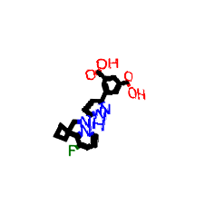 O=C(O)c1cc(C(=O)O)cc(-c2ccc(NCC3(c4ncccc4F)CCC3)nn2)c1